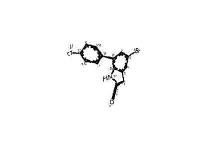 O=C1Cc2cc(Br)cc(-c3ccc(Cl)cc3)c2N1